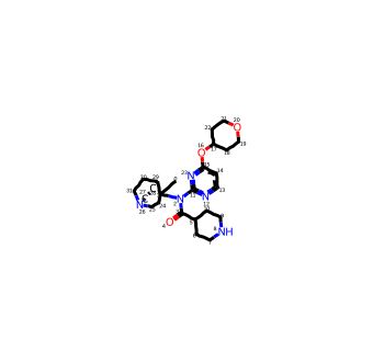 CC1(N(C(=O)C2CCNCC2)c2nccc(OC3CCOCC3)n2)CCN2CCC1CC2